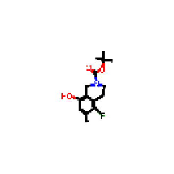 Cc1cc(O)c2c(c1F)CCN(C(=O)OC(C)(C)C)C2